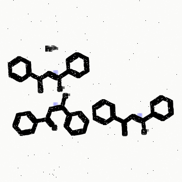 O=C(/C=C(/[O-])c1ccccc1)c1ccccc1.O=C(/C=C(\[O-])c1ccccc1)c1ccccc1.O=C(/C=C(\[O-])c1ccccc1)c1ccccc1.[Fe+3]